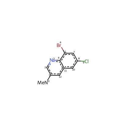 CNc1cnc2c(Br)cc(Cl)cc2c1